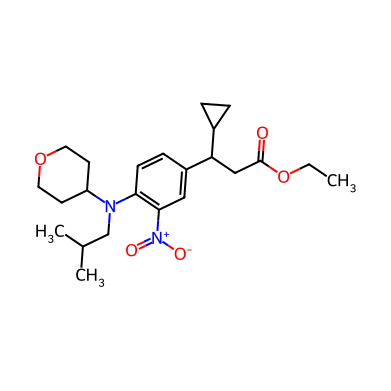 CCOC(=O)CC(c1ccc(N(CC(C)C)C2CCOCC2)c([N+](=O)[O-])c1)C1CC1